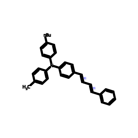 CCCCc1ccc(N(c2ccc(C)cc2)c2ccc(/C=C/C=C/c3ccccc3)cc2)cc1